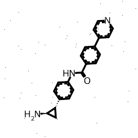 N[C@@H]1C[C@H]1c1ccc(NC(=O)c2ccc(-c3ccncc3)cc2)cc1